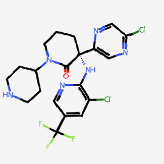 O=C1N(C2CCNCC2)CCC[C@@]1(Nc1ncc(C(F)(F)F)cc1Cl)c1cnc(Cl)cn1